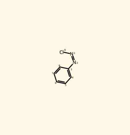 Cl/N=N\c1ccccc1